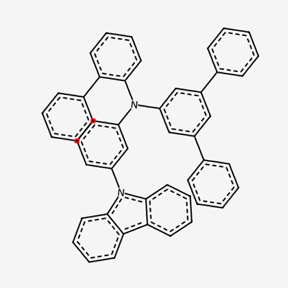 c1ccc(-c2cc(-c3ccccc3)cc(N(c3cccc(-n4c5ccccc5c5ccccc54)c3)c3ccccc3-c3ccccc3)c2)cc1